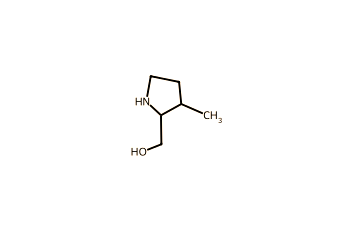 CC1CCNC1CO